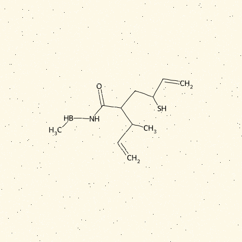 C=CC(S)CC(C(=O)NBC)C(C)C=C